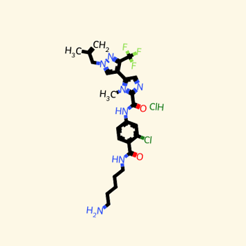 C=C(C)Cn1cc(-c2cnc(C(=O)Nc3ccc(C(=O)NCCCCCN)c(Cl)c3)n2C)c(C(F)(F)F)n1.Cl